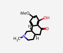 COc1cc(O)c2c(c1)[C@H]1CN(C)CC[C@@H]1CC2=O